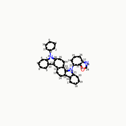 c1ccc(-n2c3ccccc3c3c4ccc5c6ccccc6n(-c6cccc7ncoc67)c5c4ccc32)cc1